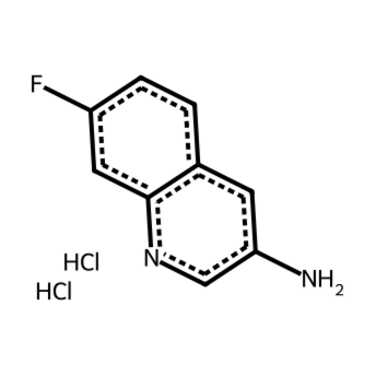 Cl.Cl.Nc1cnc2cc(F)ccc2c1